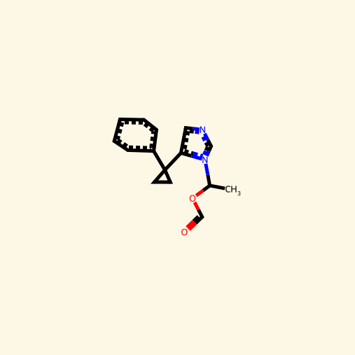 CC(OC=O)n1cncc1C1(c2ccccc2)CC1